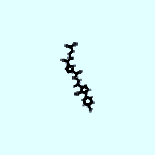 C/C(=N\NC(=O)c1ccc(C(=O)NCCC(=O)O)s1)c1csc(-c2ccc(Br)cc2)c1O